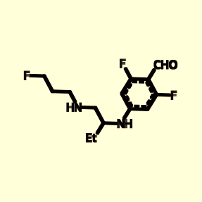 CCC(CNCCCF)Nc1cc(F)c(C=O)c(F)c1